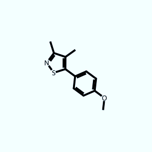 COc1ccc(-c2snc(C)c2C)cc1